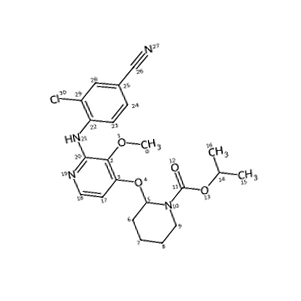 COc1c(OC2CCCCN2C(=O)OC(C)C)ccnc1Nc1ccc(C#N)cc1Cl